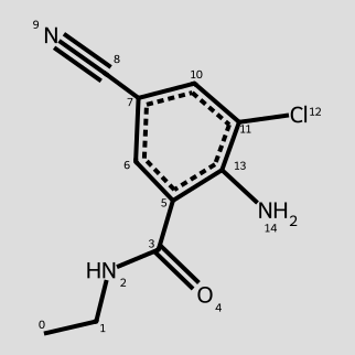 CCNC(=O)c1cc(C#N)cc(Cl)c1N